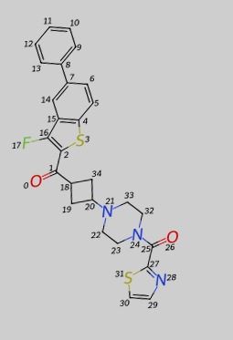 O=C(c1sc2ccc(-c3ccccc3)cc2c1F)C1CC(N2CCN(C(=O)c3nccs3)CC2)C1